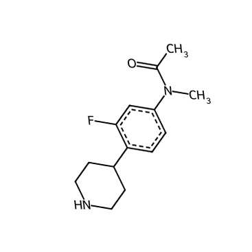 CC(=O)N(C)c1ccc(C2CCNCC2)c(F)c1